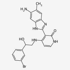 Cc1cc2nc(-c3c(NCC(O)c4cccc(Br)c4)cc[nH]c3=O)[nH]c2cc1N